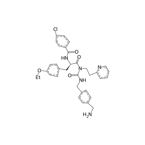 CCOc1ccc(C[C@@H](NC(=O)c2ccc(Cl)cc2)C(=O)N(CCc2ccccn2)C(=O)NCc2ccc(CN)cc2)cc1